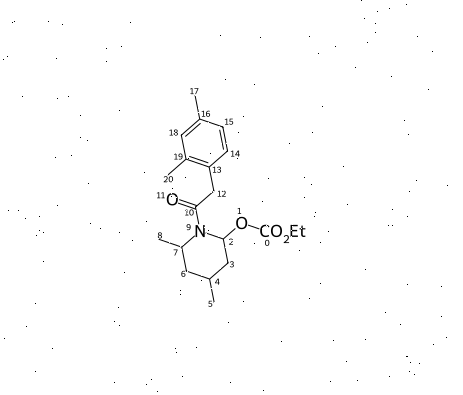 CCOC(=O)OC1CC(C)CC(C)N1C(=O)Cc1ccc(C)cc1C